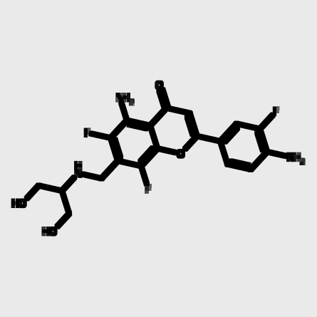 Nc1ccc(-c2cc(=O)c3c(N)c(F)c(CNC(CO)CO)c(F)c3o2)cc1F